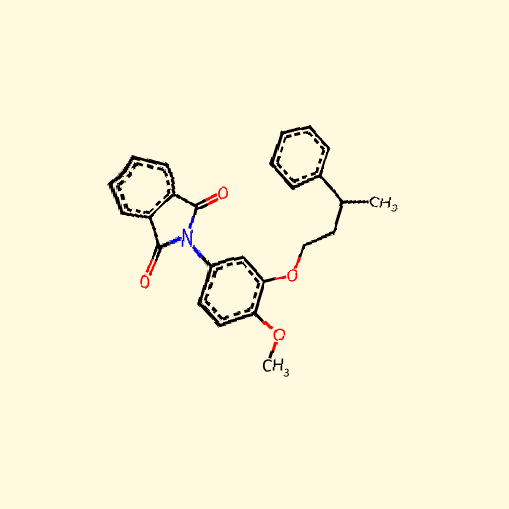 COc1ccc(N2C(=O)c3ccccc3C2=O)cc1OCCC(C)c1ccccc1